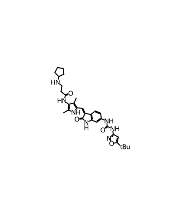 Cc1[nH]c(/C=C2\C(=O)Nc3cc(NC(=O)Nc4cc(C(C)(C)C)on4)ccc32)c(C)c1NC(=O)CCNC1CCCC1